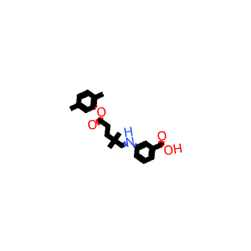 Cc1ccc(C)c(OC(=O)CCC(C)(C)CNc2cccc(C(=O)O)c2)c1